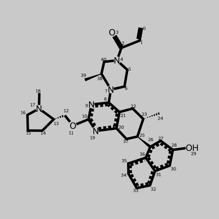 C=CC(=O)N1CCN(c2nc(OC[C@@H]3CCCN3C)nc3c2C[C@H](C)[C@@H](c2cc(O)cc4ccccc24)C3)[C@@H](C)C1